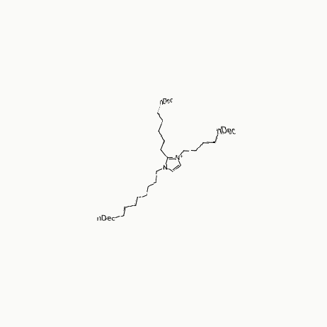 CCCCCCCCCCCCCCCCCCn1cc[n+](CCCCCCCCCCCCCC)c1CCCCCCCCCCCCCCC